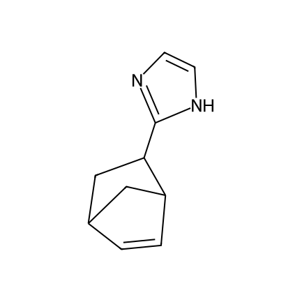 C1=CC2CC1CC2c1ncc[nH]1